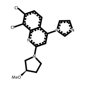 CO[C@@H]1CCN(c2cc(-n3ccnc3)c3ccc(Cl)c(Cl)c3n2)C1